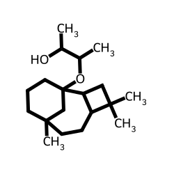 CC(O)C(C)OC12CCCC(C)(CCC3C1CC3(C)C)C2